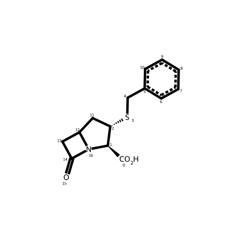 O=C(O)[C@@H]1[C@@H](SCc2ccccc2)CC2CC(=O)N21